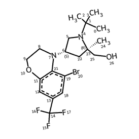 CC(C)(C)N1C[C@@H](N2CCOc3cc(C(F)(F)F)cc(Br)c32)C[C@]1(C)CO